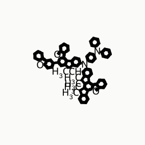 CC1(C)c2cc(N(c3ccc(N(c4ccccc4)c4ccccc4)cc3)c3ccc4c(c3)C(C)(C)c3c5c(c6oc7ccccc7c6c3-4)-c3ccccc3C5(C)C)ccc2-c2c1cc(-c1ccc3oc4ccccc4c3c1)c1oc3ccccc3c21